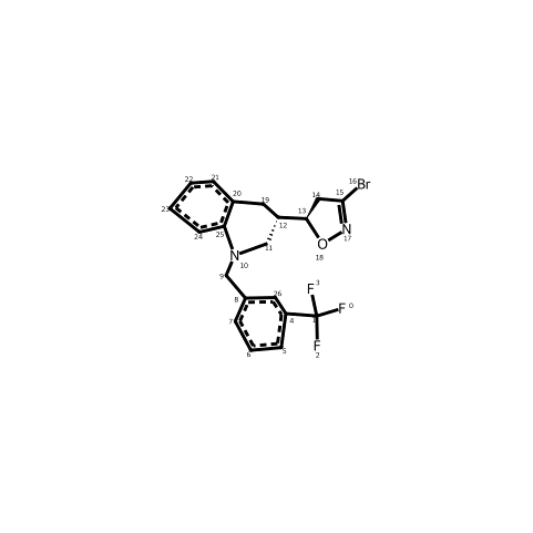 FC(F)(F)c1cccc(CN2C[C@@H]([C@H]3CC(Br)=NO3)Cc3ccccc32)c1